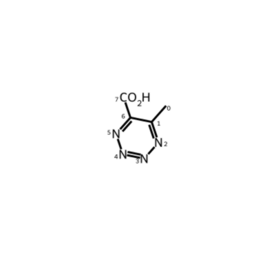 Cc1nnnnc1C(=O)O